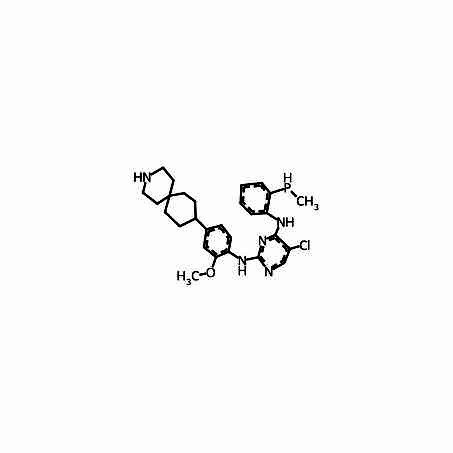 COc1cc(C2CCC3(CCNCC3)CC2)ccc1Nc1ncc(Cl)c(Nc2ccccc2PC)n1